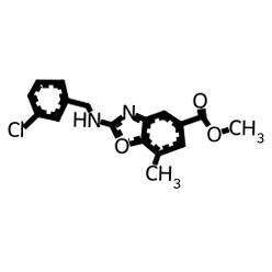 COC(=O)c1cc(C)c2oc(NCc3cccc(Cl)c3)nc2c1